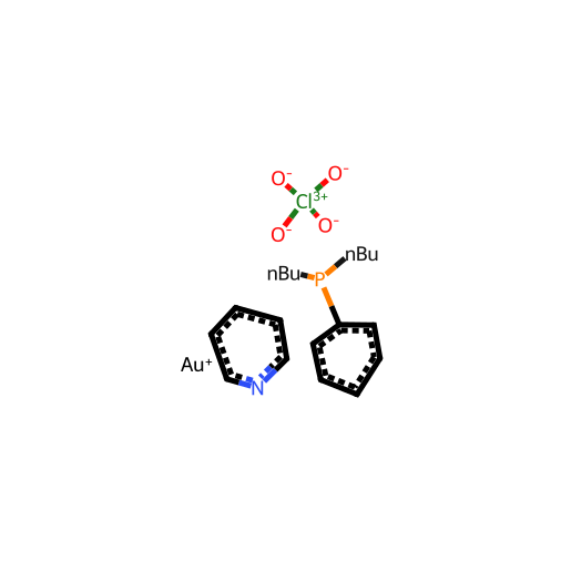 CCCCP(CCCC)c1ccccc1.[Au+].[O-][Cl+3]([O-])([O-])[O-].c1ccncc1